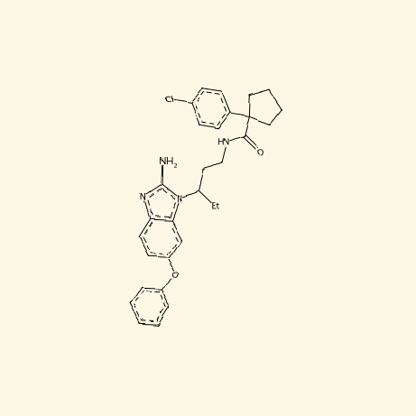 CCC(CCNC(=O)C1(c2ccc(Cl)cc2)CCCC1)n1c(N)nc2ccc(Oc3ccccc3)cc21